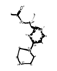 CC(=O)O[C@H](C)c1nccc(N2CCNCC2)n1